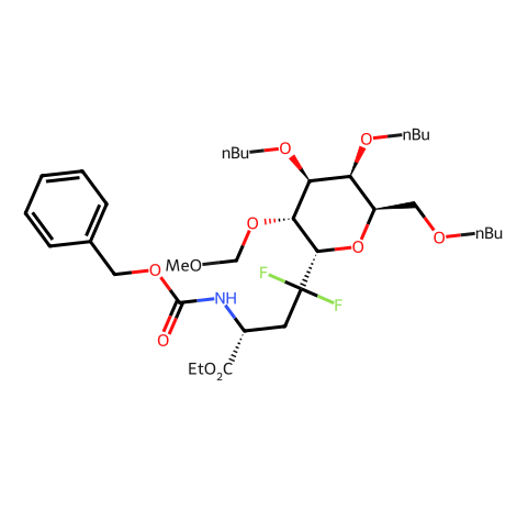 CCCCOC[C@H]1O[C@H](C(F)(F)C[C@@H](NC(=O)OCc2ccccc2)C(=O)OCC)[C@H](OCOC)[C@@H](OCCCC)[C@H]1OCCCC